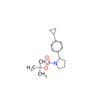 CC(C)(C)OC(=O)N1CCCC1c1ccc(C2CC2)cc1